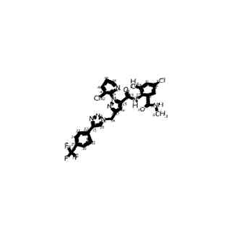 CNC(=O)c1cc(Cl)cc(C)c1NC(=O)c1cc(Cn2cc(-c3ccc(C(F)(F)F)cc3)nn2)nn1-c1ncccc1Cl